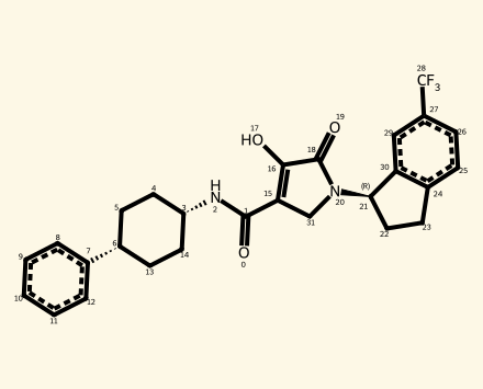 O=C(N[C@H]1CC[C@@H](c2ccccc2)CC1)C1=C(O)C(=O)N([C@@H]2CCc3ccc(C(F)(F)F)cc32)C1